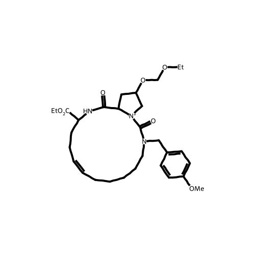 CCOCOC1CC2C(=O)NC(C(=O)OCC)CCC=CCCCCCN(Cc3ccc(OC)cc3)C(=O)[N+]2C1